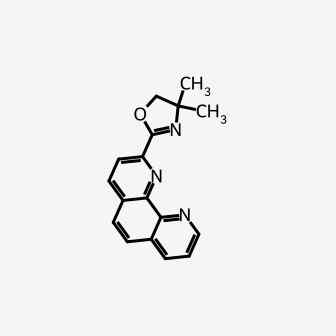 CC1(C)COC(c2ccc3ccc4cccnc4c3n2)=N1